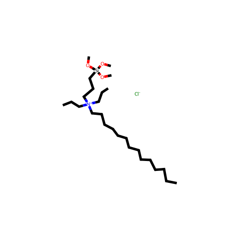 CCCCCCCCCCCCCC[N+](CCC)(CCC)CCC[Si](OC)(OC)OC.[Cl-]